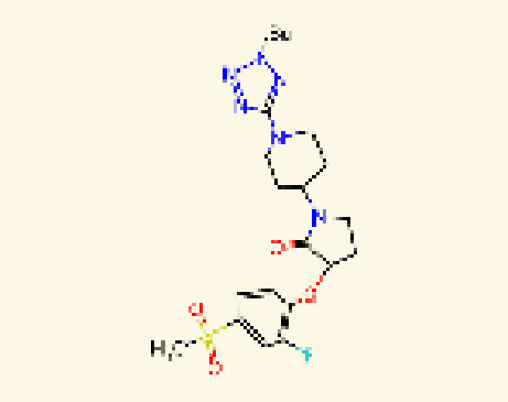 CC(C)(C)n1nnc(N2CCC(N3CCC(Oc4ccc(S(C)(=O)=O)cc4F)C3=O)CC2)n1